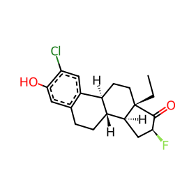 CC[C@]12CC[C@@H]3c4cc(Cl)c(O)cc4CC[C@H]3[C@@H]1C[C@H](F)C2=O